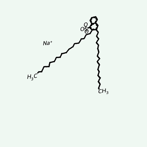 CCCCCCCCCCCCCCCCCCCc1cc2ccccc2c(S(=O)(=O)[O-])c1CCCCCCCCCCCCCCCCCCC.[Na+]